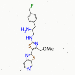 COCc1nc(NC[C@@H](N)Cc2ccc(CF)cc2)sc1-c1nc2ccncc2s1